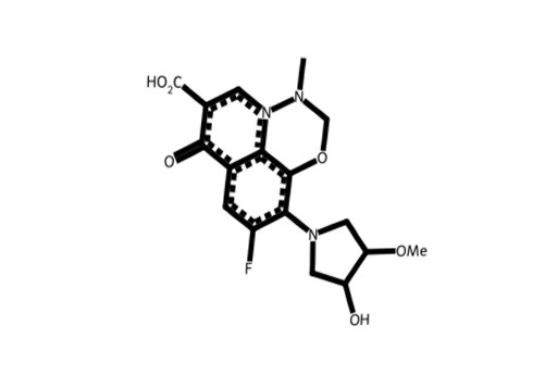 COC1CN(c2c(F)cc3c(=O)c(C(=O)O)cn4c3c2OCN4C)CC1O